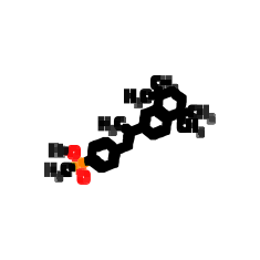 CCOP(C)(=O)c1ccc(/C=C(\C)c2ccc3c(c2)C(C)(C)CCC3(C)C)cc1